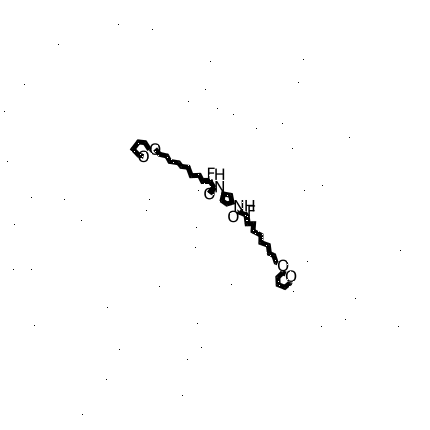 O=C(N[C@@H]1CC[C@H](NC(=O)/C(F)=C/CCCCCCCCOC2CCCCO2)C1)/C(F)=C/CCCCCCCCOC1CCCCO1